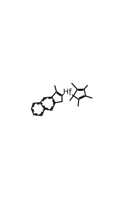 CC1=C(C)[C](C)([Hf][C]2=C(C)c3cc4ccccc4cc3C2)C(C)=C1C